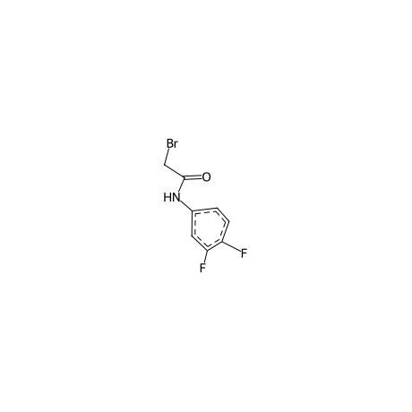 O=C(CBr)Nc1ccc(F)c(F)c1